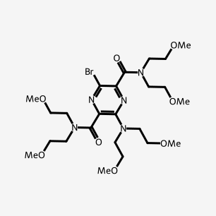 COCCN(CCOC)C(=O)c1nc(N(CCOC)CCOC)c(C(=O)N(CCOC)CCOC)nc1Br